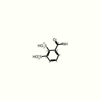 [NH]C(=O)c1cccc(S(=O)(=O)O)c1S(=O)(=O)O